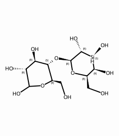 OC[C@H]1OC(O)[C@H](O)[C@@H](O)[C@@H]1O[C@@H]1O[C@H](CO)[C@H](O)[Si@H](O)[C@H]1O